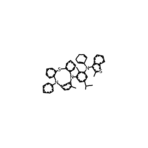 Cc1ccc2cc1N(c1cc(C(C)C)cc(N(C3=CCCC=C3)c3c(C)sc4ccccc34)c1C)c1ccccc1Sc1ccccc1N2c1ccccc1